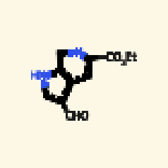 CCOC(=O)c1cc2c(C=O)c[nH]c2cn1